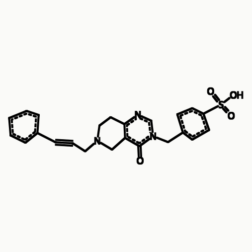 O=c1c2c(ncn1Cc1ccc(S(=O)(=O)O)cc1)CCN(CC#Cc1ccccc1)C2